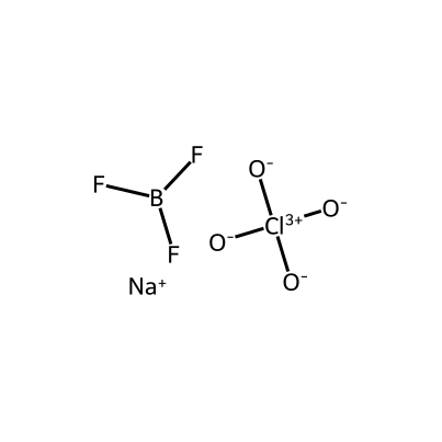 FB(F)F.[Na+].[O-][Cl+3]([O-])([O-])[O-]